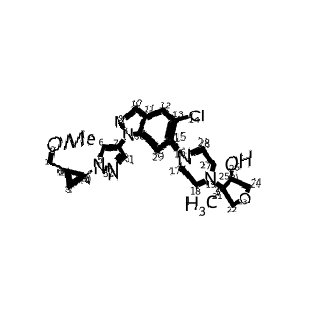 COC[C@@H]1C[C@H]1n1cc(-n2ncc3cc(Cl)c(N4CCN([C@]5(C)COC[C@@H]5O)CC4)cc32)cn1